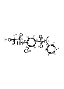 CN(c1cccnc1)S(=O)(=O)c1ccc(NC(=O)C(C)(C)O)c(Cl)c1